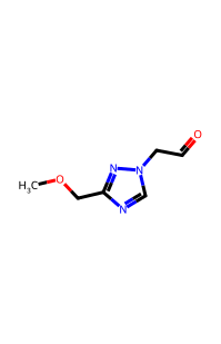 COCc1ncn(CC=O)n1